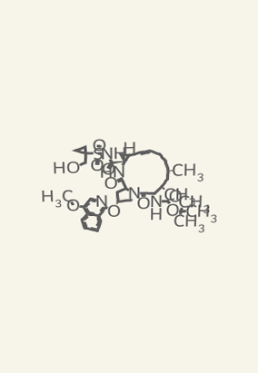 COc1cnc(O[C@@H]2CC3C(=O)N[C@]4(C(=O)NS(=O)(=O)C5(CO)CC5)C[C@H]4/C=C\CC[C@H](C)C[C@@H](C)[C@H](NC(=O)OC(C)(C)C)C(=O)N3C2)c2ccccc12